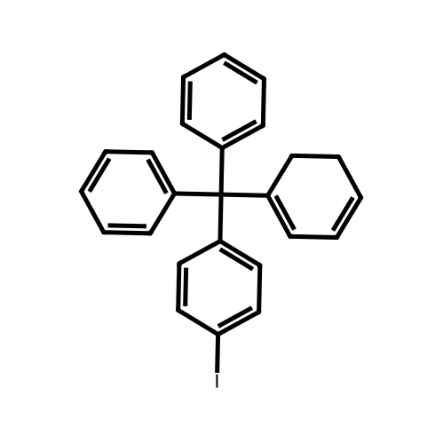 Ic1ccc(C(C2=CC=CCC2)(c2ccccc2)c2ccccc2)cc1